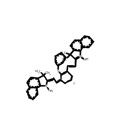 CCCN1C(=CC=C2CCCC(C=CC3=[N+](CCC)c4c(ccc5ccccc45)C3(C)C)=C2Sc2ccccc2)C(C)(C)c2ccc3ccccc3c21.[I-]